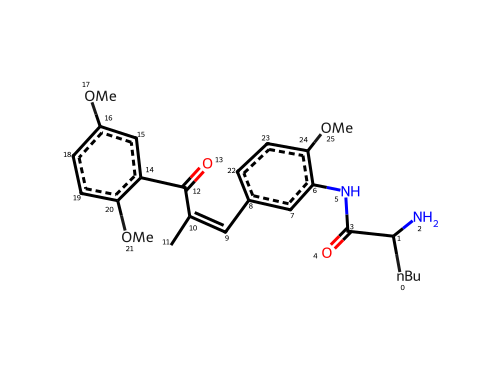 CCCCC(N)C(=O)Nc1cc(C=C(C)C(=O)c2cc(OC)ccc2OC)ccc1OC